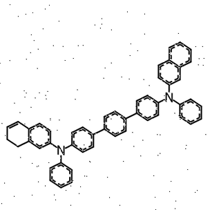 C1=Cc2ccc(N(c3ccccc3)c3ccc(-c4ccc(-c5ccc(N(c6ccccc6)c6ccc7ccccc7c6)cc5)cc4)cc3)cc2CC1